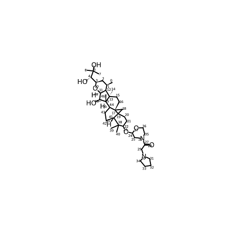 C[C@@H]1C[C@H]([C@H](O)C(C)(C)O)O[C@H]2C1[C@@]1(C)CC[C@@]34CC35CCC(OC3CN(C(=O)CN6CCCC6)CCO3)C(C)(C)[C@@H]5CC[C@H]4[C@]1(C)[C@H]2O